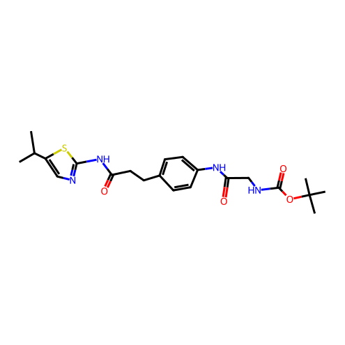 CC(C)c1cnc(NC(=O)CCc2ccc(NC(=O)CNC(=O)OC(C)(C)C)cc2)s1